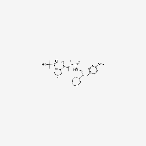 COc1ccc(CC(SNC(=O)[C@@H](C)NC(=O)[C@@H]2CSCN2C(=O)C(C)(C)O)C2CCCCC2)cc1